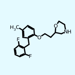 Cc1ccc(OCCC2CNCCO2)c(Cc2c(F)cccc2F)c1